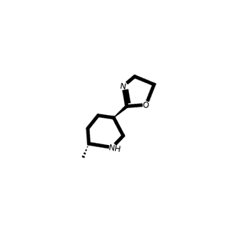 C[C@@H]1CC[C@@H](C2=NCCO2)CN1